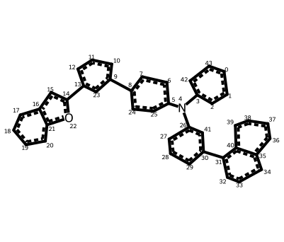 c1ccc(N(c2ccc(-c3cccc(-c4cc5ccccc5o4)c3)cc2)c2cccc(-c3cccc4ccccc34)c2)cc1